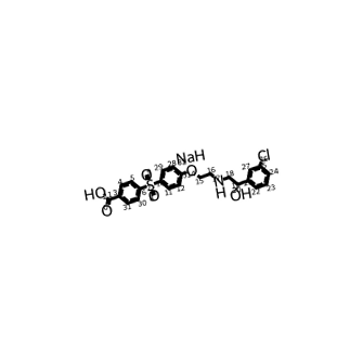 O=C(O)c1ccc(S(=O)(=O)c2ccc(OCCNC[C@@H](O)c3cccc(Cl)c3)cc2)cc1.[NaH]